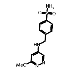 COc1cc(NCc2ccc(S(N)(=O)=O)cc2)cnn1